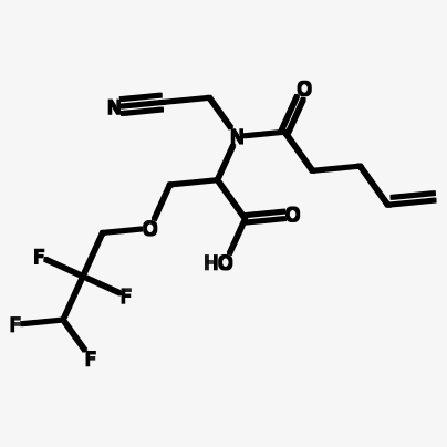 C=CCCC(=O)N(CC#N)C(COCC(F)(F)C(F)F)C(=O)O